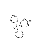 I.O=P(c1ccccc1)(c1ccccc1)c1ccccc1